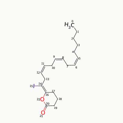 CCCCC/C=C\C/C=C\C/C=C\C/C(I)=C1\CCCC(=O)O1